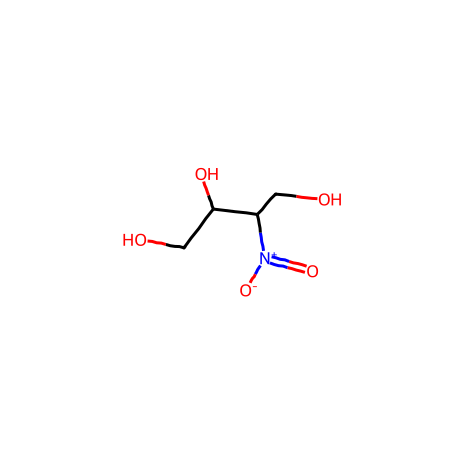 O=[N+]([O-])C(CO)C(O)CO